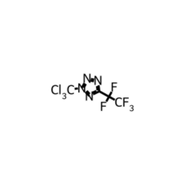 FC(F)(F)C(F)(F)c1nnn(C(Cl)(Cl)Cl)n1